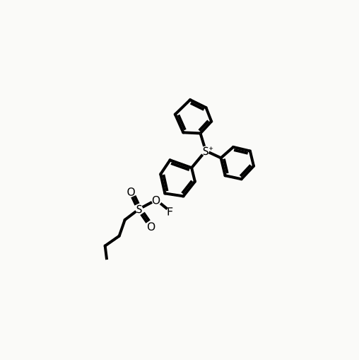 CCCCS(=O)(=O)OF.c1ccc([S+](c2ccccc2)c2ccccc2)cc1